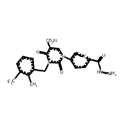 CCOC(=O)c1cn(-c2ccc(C(=O)NN)cc2)c(=O)n(Cc2cccc(C(F)(F)F)c2C)c1=O